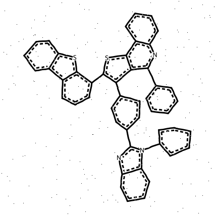 c1ccc(-c2nc3ccccc3c3sc(-c4cccc5c4sc4ccccc45)c(-c4ccc(-c5nc6ccccc6n5-c5ccccc5)cc4)c23)cc1